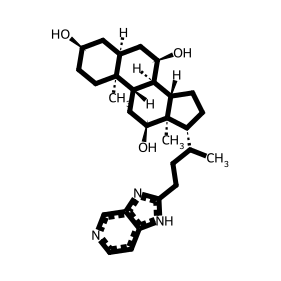 CC(CCc1nc2cnccc2[nH]1)[C@H]1CC[C@H]2[C@@H]3[C@H](O)C[C@@H]4C[C@H](O)CC[C@]4(C)[C@H]3C[C@H](O)[C@]12C